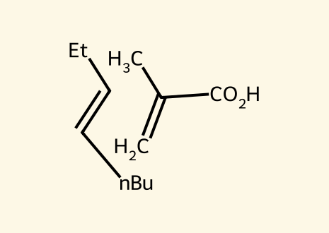 C=C(C)C(=O)O.CC/C=C/CCCC